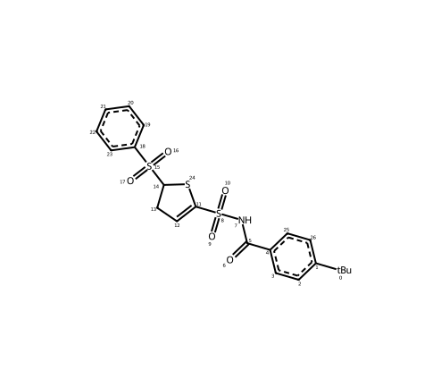 CC(C)(C)c1ccc(C(=O)NS(=O)(=O)C2=CCC(S(=O)(=O)c3ccccc3)S2)cc1